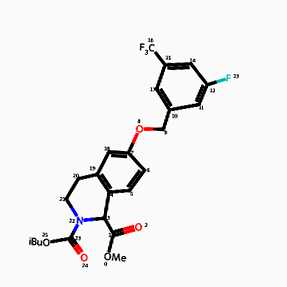 COC(=O)C1c2ccc(OCc3cc(F)cc(C(F)(F)F)c3)cc2CCN1C(=O)OCC(C)C